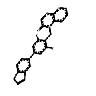 O=c1cnc2ncccc2n1Cc1c(F)cc(-c2ccc3c(c2)C=CC3)cc1F